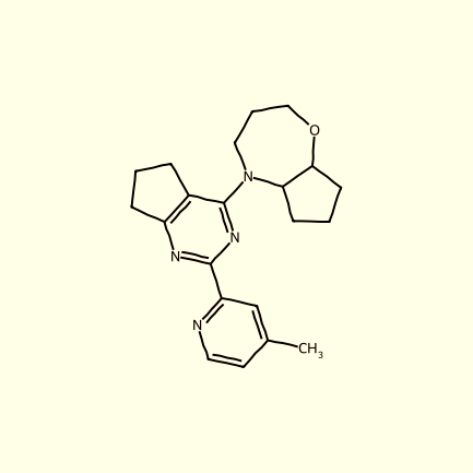 Cc1ccnc(-c2nc3c(c(N4CCCOC5CCCC54)n2)CCC3)c1